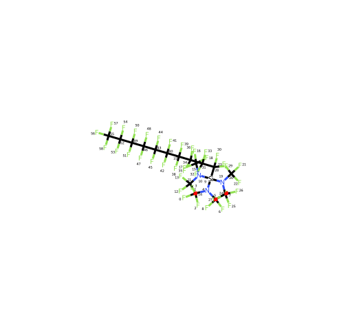 FC(F)(F)N(C(F)(F)F)[Si](N(C(F)(F)F)C(F)(F)F)(N(C(F)(F)F)C(F)(F)F)C(F)(F)C(F)(F)C(F)(F)C(F)(F)C(F)(F)C(F)(F)C(F)(F)C(F)(F)C(F)(F)C(F)(F)F